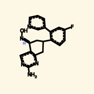 Nc1ncc2c(n1)CC(c1ccc(F)cc1-c1cccnc1)C/C2=N\O